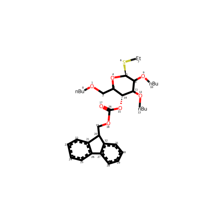 CCCCOCC1O[C@@H](SCC)C(OCCCC)C(OCCCC)[C@@H]1OC(=O)OCC1c2ccccc2-c2ccccc21